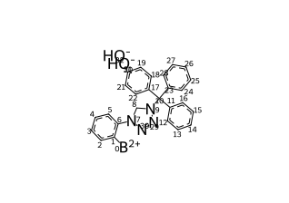 [B+2]c1ccccc1N1CN(C(c2ccccc2)(c2ccccc2)c2ccccc2)N=N1.[OH-].[OH-]